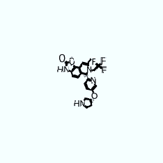 CC1=Cc2c(ccc3[nH]c(=O)oc23)[C@@H](c2ccc(O[C@H]3CCNC3)cn2)N1CC(F)(F)F